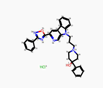 Cl.OC1(c2ccccc2)CCN(CCCn2c3ccccc3c3cc(-c4nc(-c5ccccc5)no4)ncc32)CC1